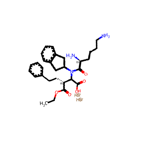 Br.Br.CCOC(=O)[C@H](CCc1ccccc1)C(C(=O)O)N(C(=O)[C@@H](N)CCCCN)C1Cc2ccccc2C1